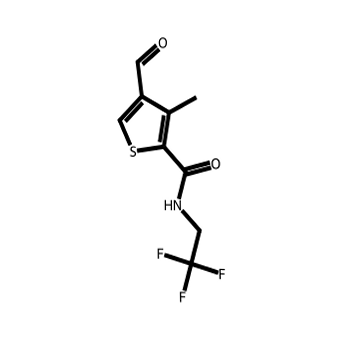 Cc1c(C=O)csc1C(=O)NCC(F)(F)F